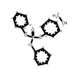 CC#N.O=P(Oc1ccccc1)(Oc1ccccc1)Oc1ccccc1